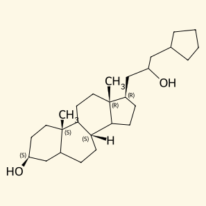 C[C@]12CC[C@H](O)CC1CC[C@@H]1C2CC[C@@]2(C)C1CC[C@@H]2CC(O)CC1CCCC1